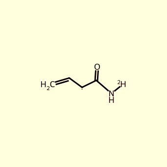 [2H]NC(=O)[CH]C=C